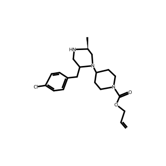 C=CCOC(=O)N1CCC(N2C[C@H](C)NCC2Cc2ccc(Cl)cc2)CC1